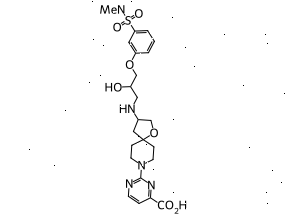 CNS(=O)(=O)c1cccc(OCC(O)CNC2COC3(CCN(c4nccc(C(=O)O)n4)CC3)C2)c1